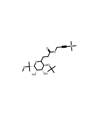 COC(C)(C)[C@@H]1OC(CCC(=O)OCC#CS(C)(C)C)[C@@H](OC(C)(C)C)[C@H](O)[C@@H]1O